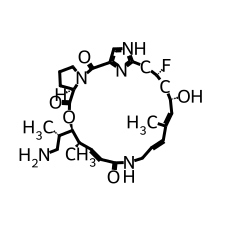 CC1=C\[C@@H](O)C[C@@H](F)Cc2nc(c[nH]2)C(=O)N2CCC[C@@H]2C(=O)O[C@H]([C@@H](C)CN)[C@H](C)/C=C/C(=O)NC\C=C\1